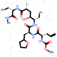 C=CC[C@H](NC(=O)OC(C)(C)C)C(=O)N[C@@H](CC1CCCO1)C(=O)N[C@@H](CC(C)C)[C@@H](O)C[C@@H](C)C(=O)N[C@@H](CC(C)C)C(=O)NC(C)C